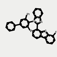 CC(C)c1cc(-c2ccccc2)cc(C(C)C)c1-n1c(-c2cccc3c2sc2c(F)cccc23)nc2ccccc21